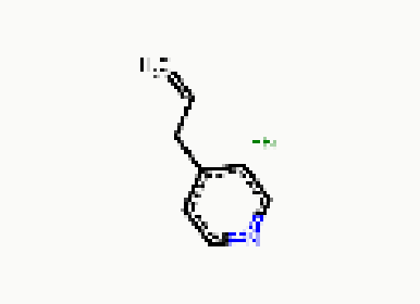 Br.C=CCc1ccncc1